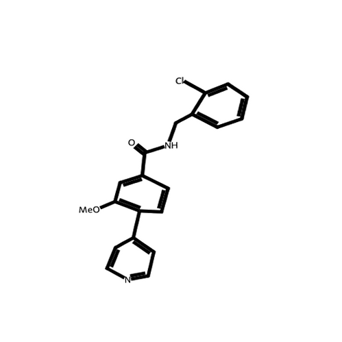 COc1cc(C(=O)NCc2ccccc2Cl)ccc1-c1ccncc1